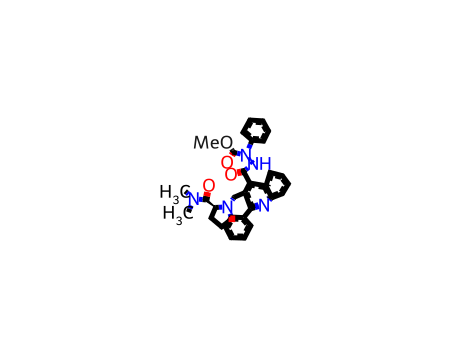 COC(=O)N(NC(=O)c1c(CN2CCC[C@H]2C(=O)N(C)C)c(-c2ccccc2)nc2ccccc12)c1ccccc1